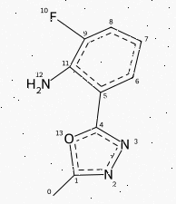 Cc1nnc(-c2cccc(F)c2N)o1